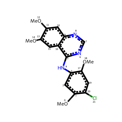 COc1cc(Nc2ncnc3cc(OC)c(OC)cc23)c(OC)cc1Cl